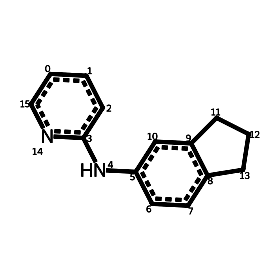 c1ccc(Nc2ccc3c(c2)CCC3)nc1